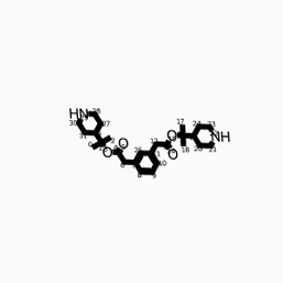 CC(C)(OC(=O)Cc1cccc(CC(=O)OC(C)(C)C2CCNCC2)c1)C1CCNCC1